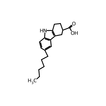 CCCCCCc1ccc2[nH]c3c(c2c1)CC(C(=O)O)CC3